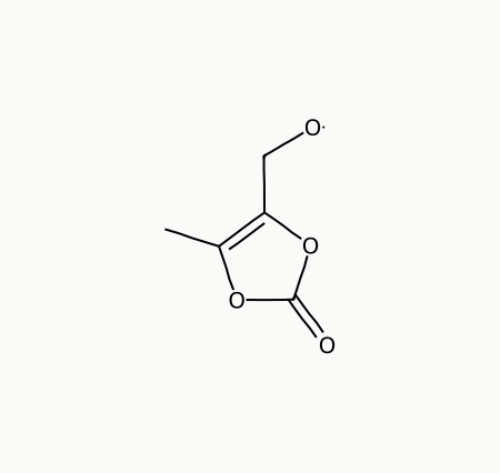 Cc1oc(=O)oc1C[O]